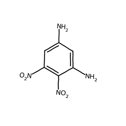 Nc1cc(N)c([N+](=O)[O-])c([N+](=O)[O-])c1